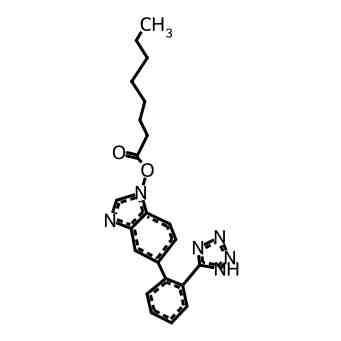 CCCCCCCC(=O)On1cnc2cc(-c3ccccc3-c3nnn[nH]3)ccc21